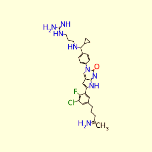 C[C@H](N)CCCc1cc(Cl)c(F)c(-c2cc3cn(-c4ccc(C(NCCCNC(=N)N)C5CC5)cc4)c(=O)nc3[nH]2)c1